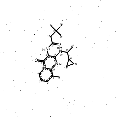 Cc1cccn2c(=O)c(NC(=O)CC(C)(C)C)c(NC(C)C3CC3)nc12